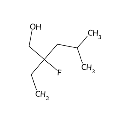 CCC(F)(CO)CC(C)C